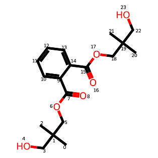 CC(C)(CO)COC(=O)c1ccccc1C(=O)OCC(C)(C)CO